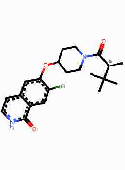 C[C@H](C(=O)N1CCC(Oc2cc3cc[nH]c(=O)c3cc2Cl)CC1)C(C)(C)C